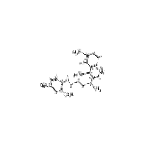 CC(CCCOc1ncc(Br)cc1C(=O)O)N(C=N)C(=N)c1cccc(N)n1